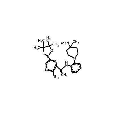 C=C(Nc1ncccc1N1CCC(C)(NC)CC1)c1nc(B2OC(C)(C)C(C)(C)O2)cnc1N